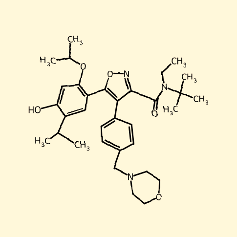 CCN(C(=O)c1noc(-c2cc(C(C)C)c(O)cc2OC(C)C)c1-c1ccc(CN2CCOCC2)cc1)C(C)(C)C